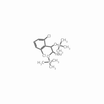 CCCCC(O[Si](C)(C)C)C(O[Si](C)(C)C)c1c(Cl)cccc1Cl